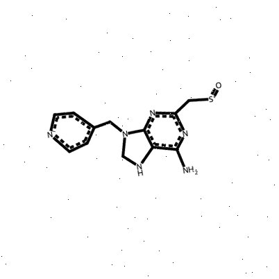 Nc1nc(C[S+]=O)nc2c1NCN2Cc1ccncc1